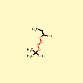 CCC(C)OOOOC(C)(C)C